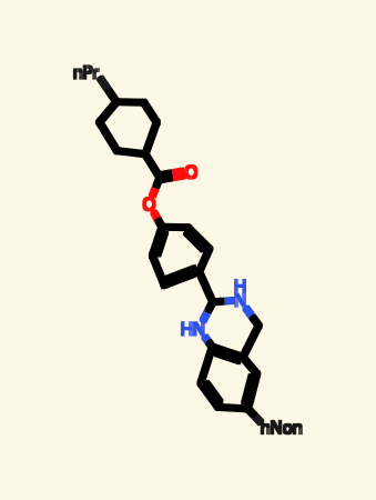 CCCCCCCCCc1ccc2c(c1)CNC(c1ccc(OC(=O)C3CCC(CCC)CC3)cc1)N2